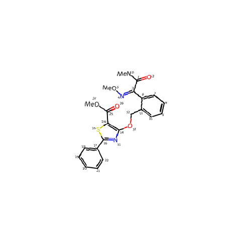 CNC(=O)C(=NOC)c1ccccc1COc1nc(-c2ccccc2)sc1C(=O)OC